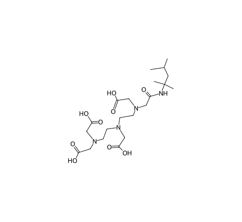 CC(C)CC(C)(C)NC(=O)CN(CCN(CCN(CC(=O)O)CC(=O)O)CC(=O)O)CC(=O)O